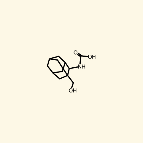 O=C(O)NC1C2CC3CC(C2)CC1(CO)C3